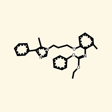 CCOC(=Nc1c(C)cccc1OCCCn1cnc(-c2ccccc2)c1C)Oc1ccccc1